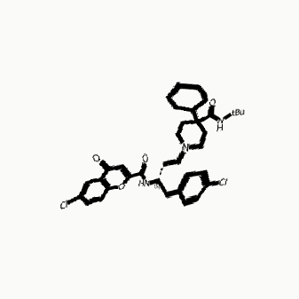 CC(C)(C)NC(=O)C1(C2CCCCC2)CCN(CC[C@H](Cc2ccc(Cl)cc2)NC(=O)c2cc(=O)c3cc(Cl)ccc3o2)CC1